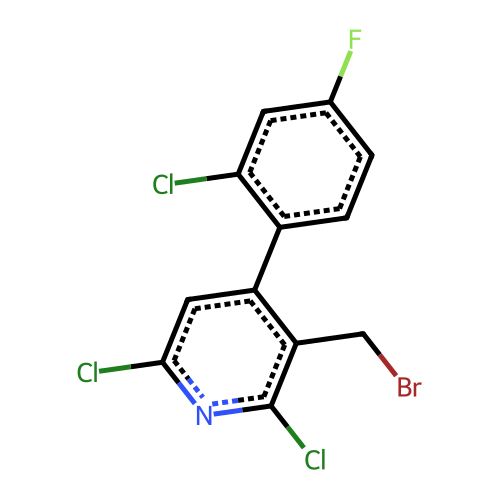 Fc1ccc(-c2cc(Cl)nc(Cl)c2CBr)c(Cl)c1